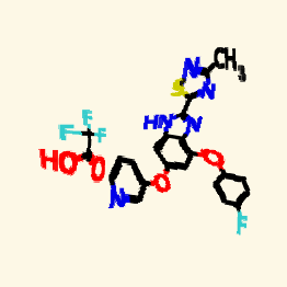 Cc1nsc(-c2nc3c(Oc4ccc(F)cc4)cc(Oc4cccnc4)cc3[nH]2)n1.O=C(O)C(F)(F)F